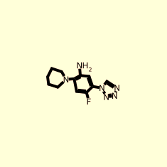 Nc1cc(-n2cnnn2)c(F)cc1N1CCCCC1